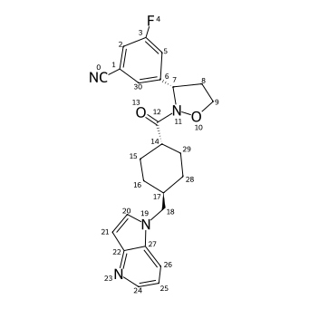 N#Cc1cc(F)cc([C@@H]2CCON2C(=O)[C@H]2CC[C@H](Cn3ccc4ncccc43)CC2)c1